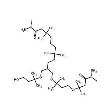 BB(I)C(=O)CC(C)(C)OCCC(C)(C)OCC(COC(C)(C)CCO)COC(C)(C)CCOC(C)(C)CC(=O)B(B)I